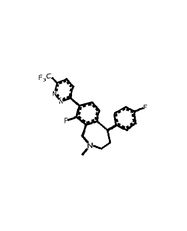 CN1CCC(c2ccc(F)cc2)c2ccc(-c3ccc(C(F)(F)F)nn3)c(F)c2C1